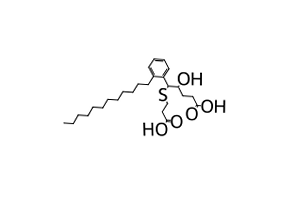 CCCCCCCCCCCCc1ccccc1C(SCCC(=O)O)C(O)CCC(=O)O